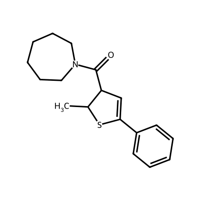 CC1SC(c2ccccc2)=CC1C(=O)N1CCCCCC1